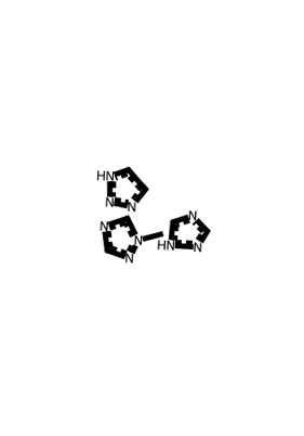 Cn1cncn1.c1c[nH]nn1.c1nc[nH]n1